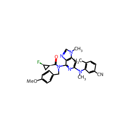 COc1ccc(CN(C(=O)[C@H]2C[C@H]2F)c2nc(N(C)c3cc(C#N)ccc3C)cc3c2ncn3C)cc1